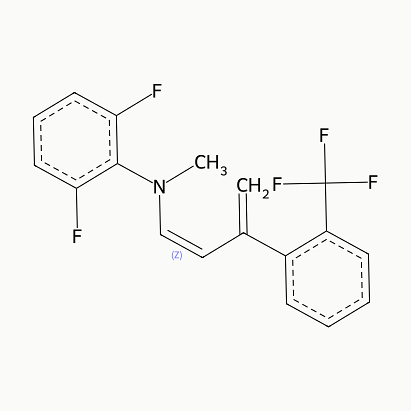 C=C(/C=C\N(C)c1c(F)cccc1F)c1ccccc1C(F)(F)F